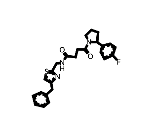 O=C(CCC(=O)N1CCCC1c1ccc(F)cc1)NCc1nc(Cc2ccccc2)cs1